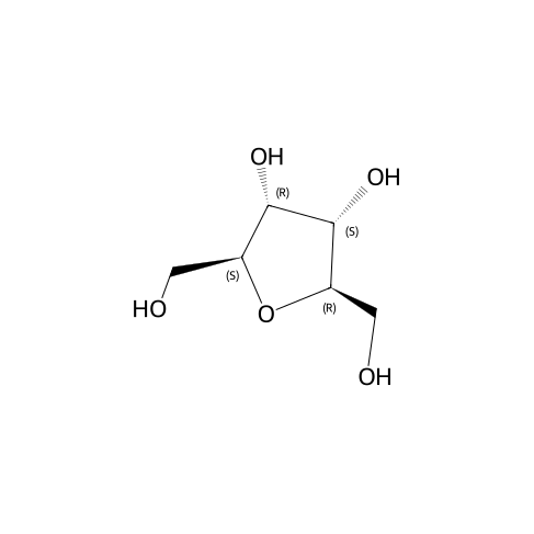 OC[C@@H]1O[C@H](CO)[C@@H](O)[C@H]1O